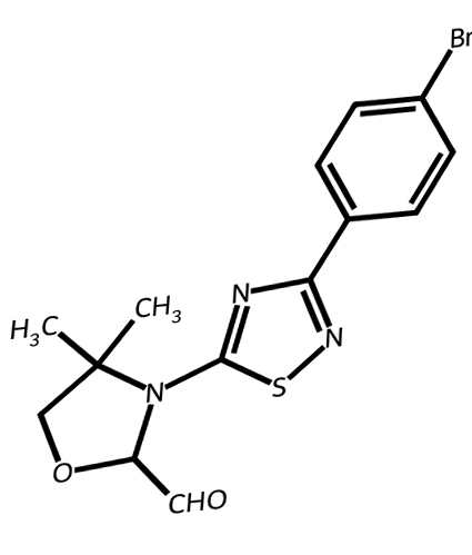 CC1(C)COC(C=O)N1c1nc(-c2ccc(Br)cc2)ns1